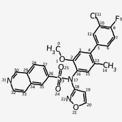 COc1cc(-c2ccc(F)c(Cl)c2)c(C)cc1N(c1ccon1)S(=O)(=O)c1ccc2cnccc2c1